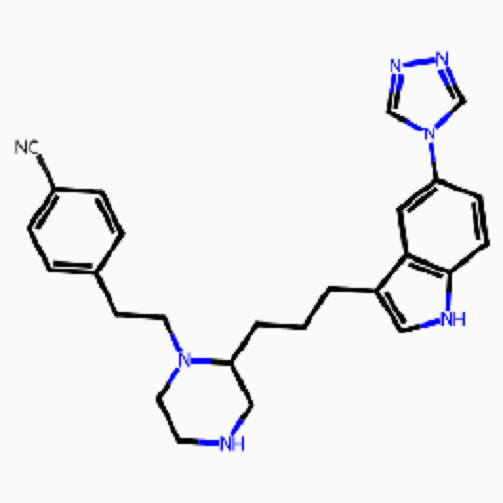 N#Cc1ccc(CCN2CCNCC2CCCc2c[nH]c3ccc(-n4cnnc4)cc23)cc1